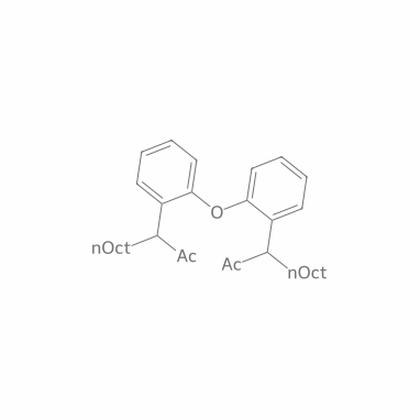 CCCCCCCCC(C(C)=O)c1ccccc1Oc1ccccc1C(CCCCCCCC)C(C)=O